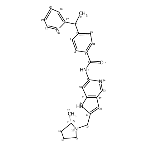 CC(c1ccc(C(=O)Nc2cc3[nH]c(CN4CCC[C@@H]4C)cc3cn2)cc1)c1ccccn1